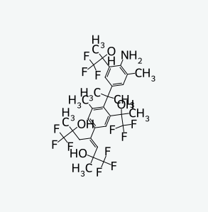 Cc1cc(C(C)(C)c2c(C)cc(/C(=C/C(C)(O)C(F)(F)F)CC(C)(O)C(F)(F)F)cc2C(C)(O)C(F)(F)F)cc(C(C)(O)C(F)(F)F)c1N